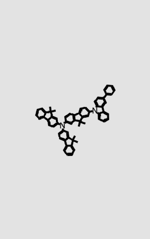 CC1(C)c2ccccc2-c2ccc(N(c3ccc4c(c3)C(C)(C)c3ccccc3-4)c3ccc4c(c3)C(C)(C)c3cc(-n5c6ccccc6c6cc(-c7ccccc7)ccc65)ccc3-4)cc21